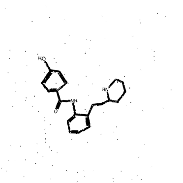 O=C(Nc1ccccc1CCC1CCCCN1)c1ccc(O)cc1